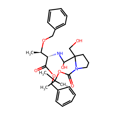 C[C@@H](OCc1ccccc1)[C@H](NC(O)C1(CO)CCCN1C(=O)OC(C)(C)C)C(=O)OCc1ccccc1